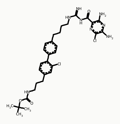 CC(C)(C)OC(=O)NCCCc1ccc(-c2ccc(CCCCNC(=N)NC(=O)c3nc(Cl)c(N)nc3N)cc2)c(Cl)c1